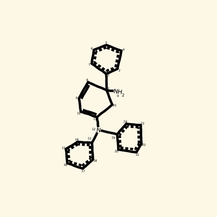 NC1(c2ccccc2)C=CC=C(N(c2ccccc2)c2ccccc2)C1